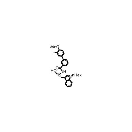 CCCCCCn1cc(C[C@H](CO)NC(=O)c2cccc(-c3ccc(OC)c(F)c3)c2)c2ccccc21